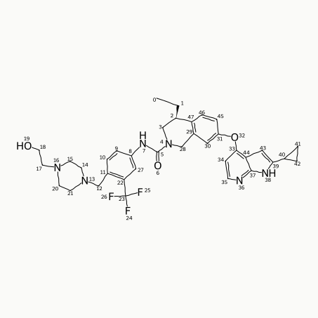 CC[C@@H]1CN(C(=O)Nc2ccc(CN3CCN(CCO)CC3)c(C(F)(F)F)c2)Cc2cc(Oc3ccnc4[nH]c(C5CC5)cc34)ccc21